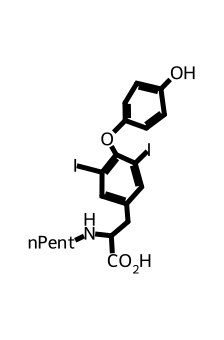 CCCCCNC(Cc1cc(I)c(Oc2ccc(O)cc2)c(I)c1)C(=O)O